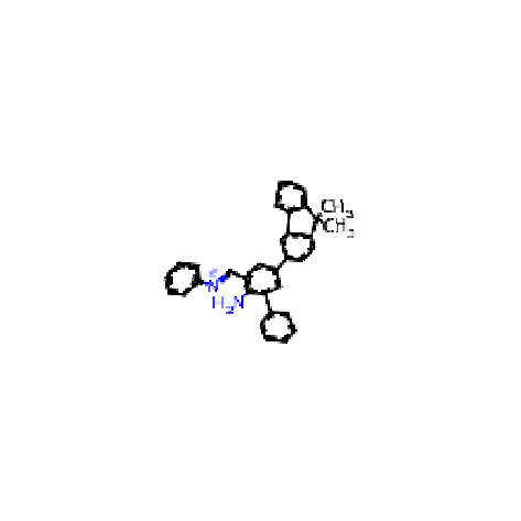 CC1(C)c2ccccc2-c2cc(-c3cc(/C=N/c4ccccc4)c(N)c(-c4ccccc4)c3)ccc21